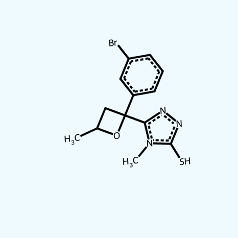 CC1CC(c2cccc(Br)c2)(c2nnc(S)n2C)O1